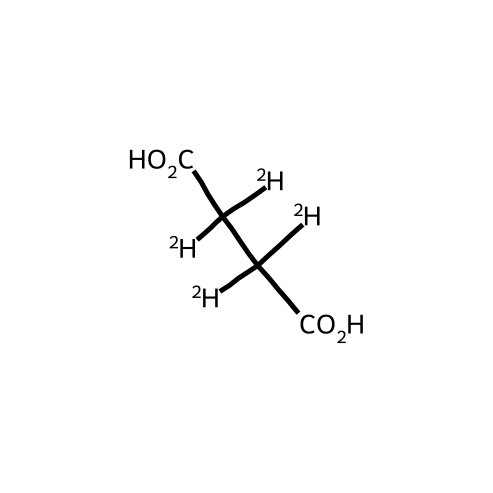 [2H]C([2H])(C(=O)O)C([2H])([2H])C(=O)O